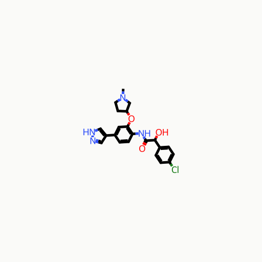 CN1CCC(Oc2cc(-c3cn[nH]c3)ccc2NC(=O)C(O)c2ccc(Cl)cc2)C1